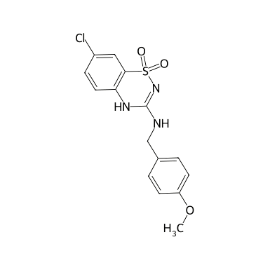 COc1ccc(CNC2=NS(=O)(=O)c3cc(Cl)ccc3N2)cc1